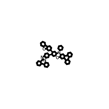 c1ccc(N2c3cc(-c4ccc5c(c4)oc4ccccc45)c(-c4ccc5nc6c7ccccc7c7ccccc7n6c5c4)cc3Oc3cc4c5ccccc5c5ccccc5c4cc32)cc1